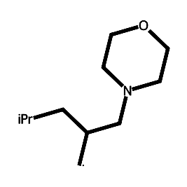 [CH2]C(CC(C)C)CN1CCOCC1